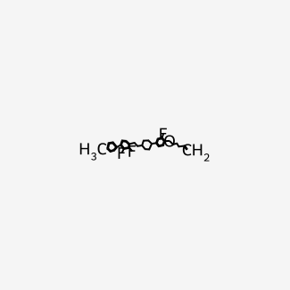 C=CCCCOc1ccc(C2CCC(CCc3ccc(-c4ccc(C)cc4)c(F)c3F)CC2)cc1F